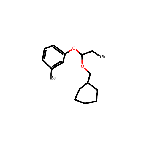 CCC(C)c1cccc(OC(CC(C)(C)C)OCC2CCCCC2)c1